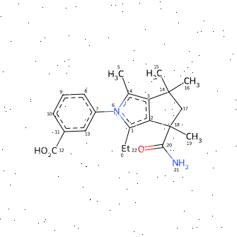 CCc1c2c(c(C)n1-c1cccc(C(=O)O)c1)C(C)(C)CC2(C)C(N)=O